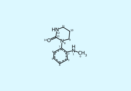 CNc1ccccc1N1CCCNC1=O